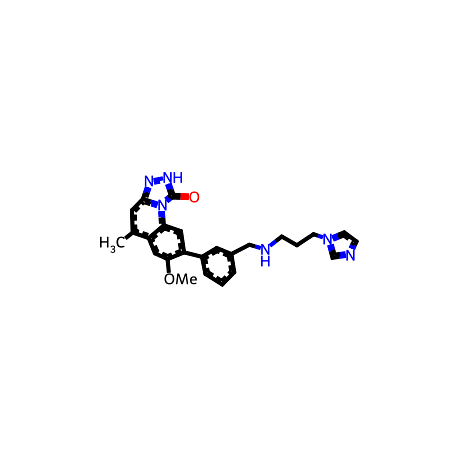 COc1cc2c(C)cc3n[nH]c(=O)n3c2cc1-c1cccc(CNCCCn2ccnc2)c1